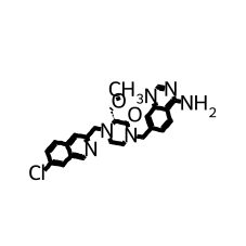 COC[C@@H]1C(=O)N(Cc2ccc3c(N)ncnc3c2)CCN1Cc1cc2ccc(Cl)cc2cn1